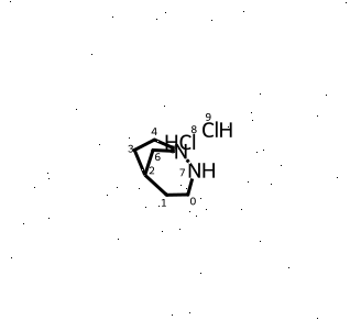 C1CC2CCN(C2)N1.Cl.Cl